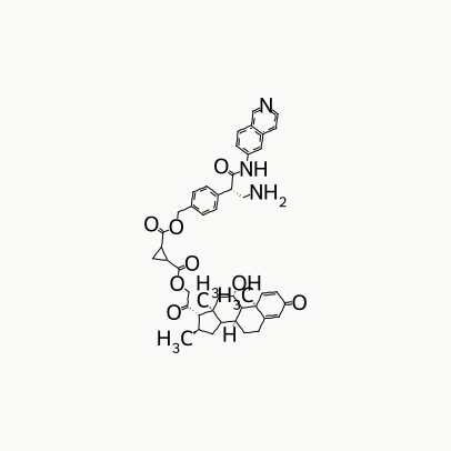 C[C@@H]1CC2[C@@H]3CCC4=CC(=O)C=C[C@]4(C)C3[C@@H](O)C[C@]2(C)[C@H]1C(=O)COC(=O)C1CC1C(=O)OCc1ccc([C@@H](CN)C(=O)Nc2ccc3cnccc3c2)cc1